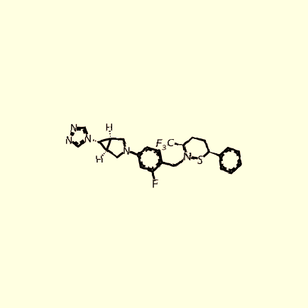 Fc1cc(N2C[C@@H]3[C@H](C2)[C@H]3n2cnnc2)ccc1CN1S[C@H](c2ccccc2)CC[C@@H]1C(F)(F)F